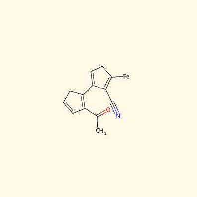 CC(=O)C1=C(C2=CC[C]([Fe])=C2C#N)CC=C1